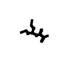 C=C(C)C(=O)OP(OCC)OCC